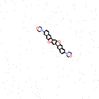 c1cc2cc3c(cc2cc1N1CCOCC1)oc1cc2c(cc13)oc1cc3cc(N4CCOCC4)ccc3cc12